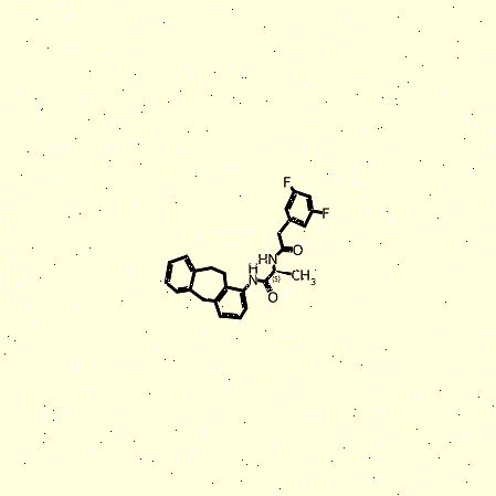 C[C@H](NC(=O)Cc1cc(F)cc(F)c1)C(=O)Nc1cccc2c1CCc1ccccc1C2